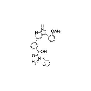 COc1ccccc1-c1c[nH]c2ncc(-c3cccc(C(O)C(=O)N(C)CC4CCCO4)c3)cc12